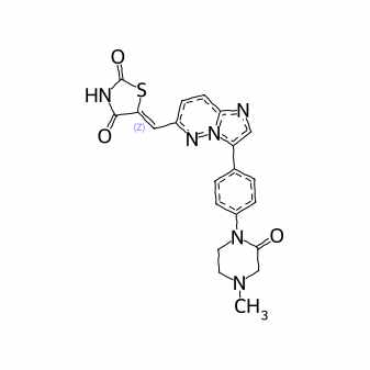 CN1CCN(c2ccc(-c3cnc4ccc(/C=C5\SC(=O)NC5=O)nn34)cc2)C(=O)C1